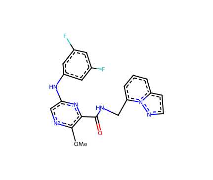 COc1ncc(Nc2cc(F)cc(F)c2)nc1C(=O)NCc1cccc2ccnn12